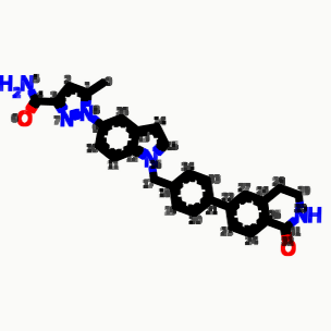 Cc1cc(C(N)=O)nn1-c1ccc2c(ccn2Cc2ccc(-c3ccc4c(c3)CCNC4=O)cc2)c1